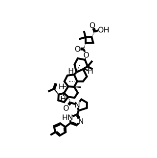 C=C(C)[C@@H]1CC[C@]2(C(=O)N3CCCC3c3ncc(-c4ccc(C)cc4)[nH]3)CC[C@]3(C)[C@H](CC[C@@H]4[C@@]5(C)CC[C@H](OC(=O)[C@H]6C[C@@H](C(=O)O)C6(C)C)C(C)(C)[C@@H]5CC[C@]43C)[C@@H]12